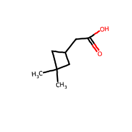 CC1(C)CC(CC(=O)O)C1